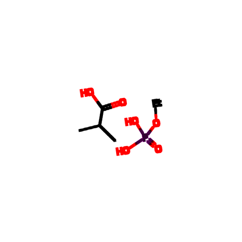 CC(C)C(=O)O.CCOP(=O)(O)O